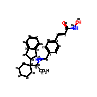 O=C(C=Cc1ccc(CN[C@H](C(=O)O)C2(C3Cc4ccccc4C3)CCCCC2)cc1)NO